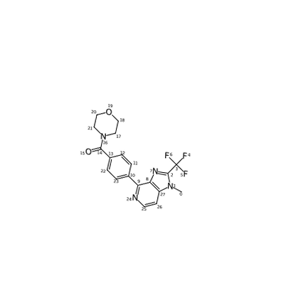 Cn1c(C(F)(F)F)nc2c(-c3ccc(C(=O)N4CCOCC4)cc3)nccc21